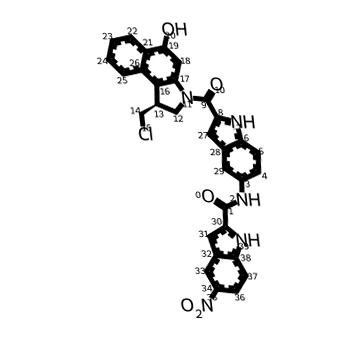 O=C(Nc1ccc2[nH]c(C(=O)N3C[C@@H](CCl)c4c3cc(O)c3ccccc43)cc2c1)c1cc2cc([N+](=O)[O-])ccc2[nH]1